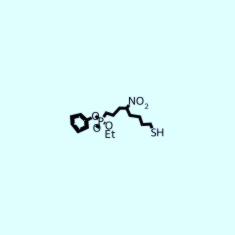 CCOP(=O)(CCCC(CCCCS)[N+](=O)[O-])Oc1ccccc1